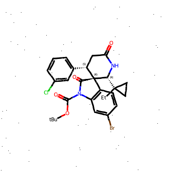 CCC1([C@H]2NC(=O)C[C@@H](c3cccc(Cl)c3)[C@]23C(=O)N(C(=O)OC(C)(C)C)c2cc(Br)ccc23)CC1